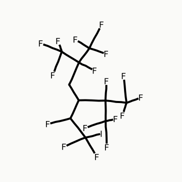 FC(C(CC(F)(C(F)(F)F)C(F)(F)F)C(F)(C(F)(F)F)C(F)(F)F)C(F)(F)I